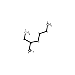 [CH2]C([CH]CCC)CC